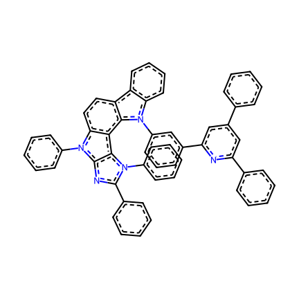 c1ccc(-c2cc(-c3ccccc3)nc(-c3cccc(-n4c5ccccc5c5ccc6c(c7c(nc(-c8ccccc8)n7-c7ccccc7)n6-c6ccccc6)c54)c3)c2)cc1